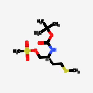 CSCC[C@H](COS(C)(=O)=O)NC(=O)OC(C)(C)C